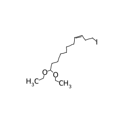 CCOC(CCCCCC/C=C\CCI)OCC